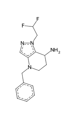 NC1CCN(Cc2ccccc2)c2cnn(CC(F)F)c21